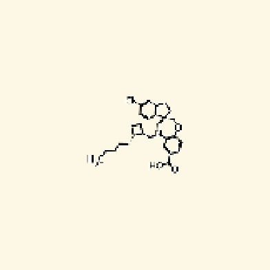 CCC/C=C/[C@@H]1CC[C@H]1CN1CC2(CCc3cc(Cl)ccc32)COc2ccc(C(=O)O)cc21